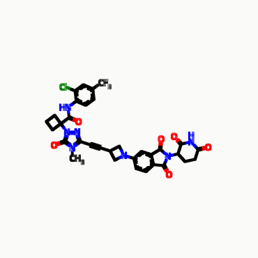 Cn1c(C#CC2CN(c3ccc4c(c3)C(=O)N(C3CCC(=O)NC3=O)C4=O)C2)nn(C2(C(=O)Nc3ccc(C(F)(F)F)cc3Cl)CCC2)c1=O